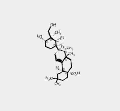 CC[C@H]1[C@](C)(CO)[C@@H](O)CC[C@]1(C)[C@H]1CC=C2[C@@H]3CC(C)(C)CC[C@]3(C(=O)O)CC[C@@]2(C)[C@H]1C